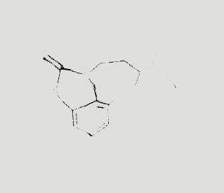 CC(C)N[C@H]1CCn2c(=O)[nH]c3cccc(c32)C1